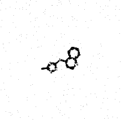 Cc1nnc(Sc2ccnc3ccccc23)s1